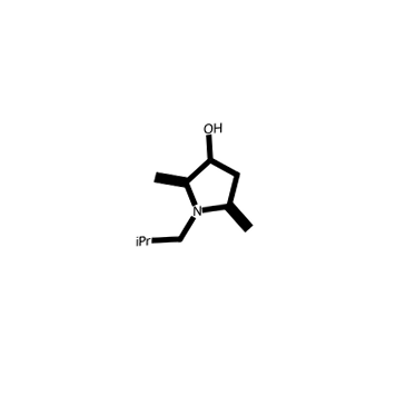 C=C1CC(O)C(=C)N1CC(C)C